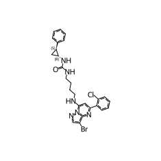 O=C(NCCCCNc1cc(-c2ccccc2Cl)nc2c(Br)cnn12)N[C@@H]1C[C@H]1c1ccccc1